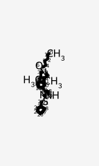 CCCCCC(=O)N1CCC(C)(c2cccc(-c3c[nH]c(SCc4ccccc4)n3)c2)C(C)C1